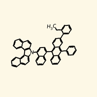 CCc1ccccc1-c1ccc2c(-c3ccc(-n4c5ccc6ccccc6c5c5c6ccccc6ccc54)c4ccccc34)c3ccccc3c(-c3ccccc3)c2c1